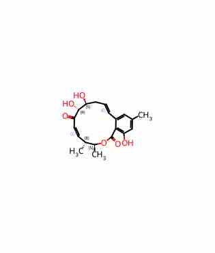 Cc1cc(O)c2c(c1)/C=C/C[C@H](O)[C@@H](O)C(=O)/C=C\[C@@H](C)[C@H](C)OC2=O